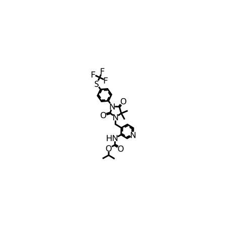 CC(C)OC(=O)Nc1cnccc1CN1C(=O)N(c2ccc(SC(F)(F)F)cc2)C(=O)C1(C)C